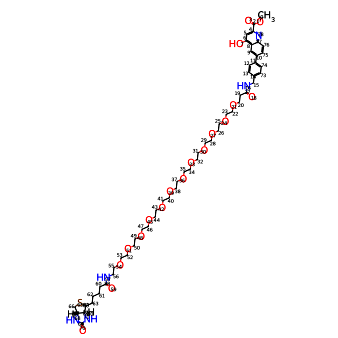 COC(=O)c1cc(O)c2cc(-c3ccc(CNC(=O)CCOCCOCCOCCOCCOCCOCCOCCOCCOCCOCCOCCOCCNC(=O)CCCC[C@@H]4SC[C@@H]5NC(=O)N[C@@H]54)cc3)ccc2n1